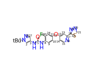 CC(C)(C)n1cc(NC(=O)Nc2ccc(Oc3ccnc(-c4nncs4)c3)cc2F)cn1